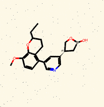 CCC1CCc2c(-c3cncc([C@@H]4COB(O)C4)c3)ccc(OC)c2O1